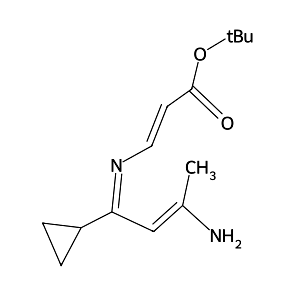 C\C(N)=C/C(=N\C=C\C(=O)OC(C)(C)C)C1CC1